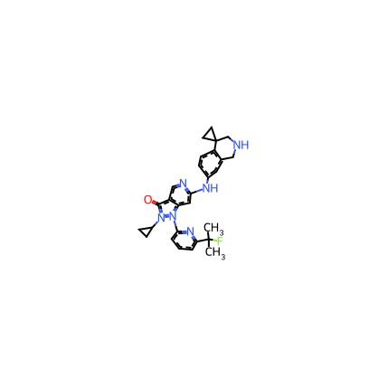 CC(C)(F)c1cccc(-n2c3cc(Nc4ccc5c(c4)CNCC54CC4)ncc3c(=O)n2C2CC2)n1